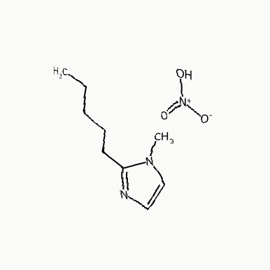 CCCCCc1nccn1C.O=[N+]([O-])O